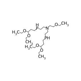 CCOCCN(CCPCCC(OCC)OCC)CCPCCC(OCC)OCC